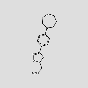 CC(=O)NCC1CC(c2ccc(N3CCCCCC3)cc2)=NO1